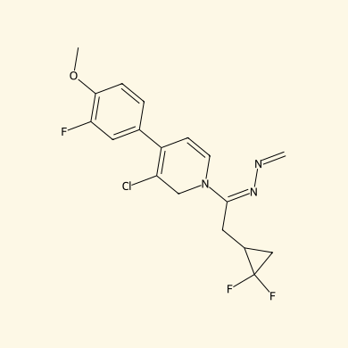 C=N/N=C(/CC1CC1(F)F)N1C=CC(c2ccc(OC)c(F)c2)=C(Cl)C1